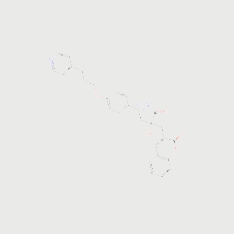 Cc1ccc2oc(=O)c(CC(O)(CCc3ccc(OCCCc4ccncc4)cc3)C(N)=O)cc2c1